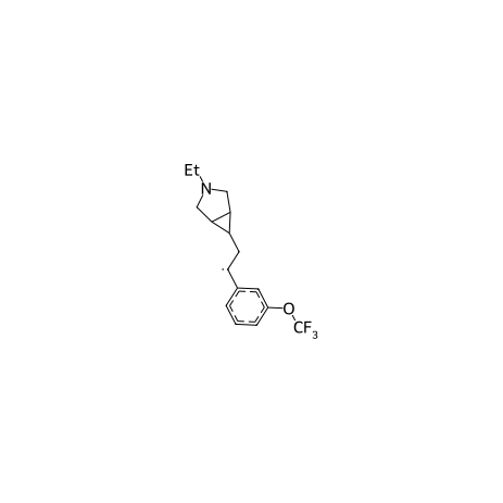 CCN1CC2C(C[CH]c3cccc(OC(F)(F)F)c3)C2C1